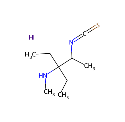 CCC(CC)(NC)C(C)N=C=S.I